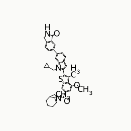 COc1cc(C(=O)N2CC3CCCC2C3C)cc2sc(-c3cc4ccc(-c5ccc6c(c5)C(=O)NC6)cc4n3CC3CC3)c(C)c12